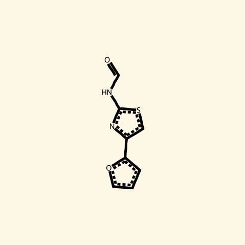 O=CNc1nc(-c2ccco2)cs1